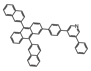 c1ccc(-c2cncc(-c3ccc(-c4ccc5c(-c6ccc7ccccc7c6)c6ccccc6c(-c6ccc7ccccc7c6)c5c4)cc3)c2)cc1